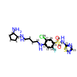 N[C@@H]1CCC[C@H]1NCCCCNc1cc(F)c(S(=O)(=O)Nc2ncns2)cc1Cl